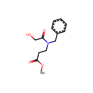 CC(C)(C)OC(=O)CCN(Cc1ccccc1)C(=O)CO